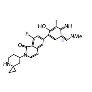 CN/C=C1/C=C(c2cc(F)c3c(=O)n(C4CCNC5(CC5)C4)ccc3c2)C(O)=C(C)C1=N